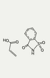 C=CC(=O)O.O=C1NS(=O)(=O)c2ccccc21